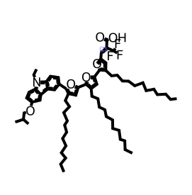 CCCCCCCCCCCCc1cc(-c2oc(-c3oc(/C=C(/C(=O)O)C(F)(F)F)cc3CCCCCCCCCCCC)cc2CCCCCCCCCCCC)oc1-c1ccc2c(c1)c1cc(OCC(C)C)ccc1n2CC